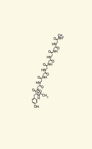 CNC(=O)CNC(=O)CNC(=O)CNC(=O)CNC(=O)CNC(=O)CNC(=O)CNC(=O)CNC(=O)C(Cc1ccc(O)cc1)NC(C)=O